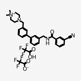 C[N+]1(C)CCN(Cc2cccc(-c3cccc(CNC(=O)c4cccc(C#N)c4)c3)c2)CC1.O=C(O)C(F)(F)F.O=C([O-])C(F)(F)F